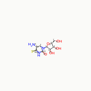 Nc1cn([C@H]2O[C@@H](CO)C(O)C2O)c(=O)[nH]c1=S